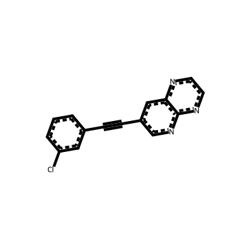 Clc1cccc(C#Cc2cnc3nccnc3c2)c1